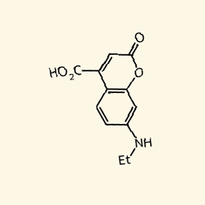 CCNc1ccc2c(C(=O)O)cc(=O)oc2c1